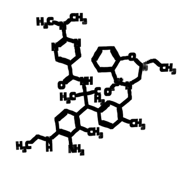 CCNc1ccc(C(c2ccc(C)c(CN3C[C@@H](CC)Oc4ccccc4[S+]3[O-])c2)C(C)(C)NC(=O)c2cnc(N(C)C)nc2)c(C)c1N